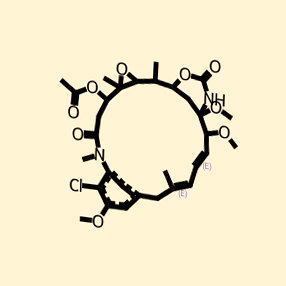 COc1cc2cc(c1Cl)N(C)C(=O)CC(OC(C)=O)C1(C)OC1C(C)C1CC(OC)(NC(=O)O1)C(OC)/C=C/C=C(\C)C2